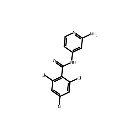 Nc1cc(NC(=O)c2c(Cl)cc(Cl)cc2Cl)ccn1